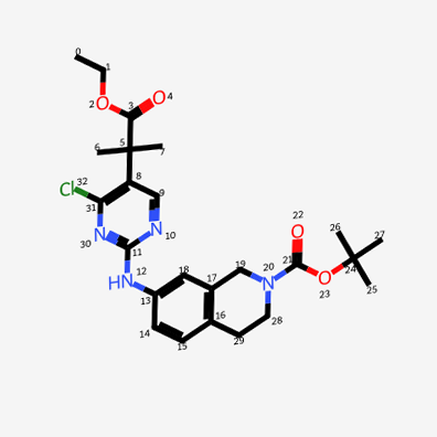 CCOC(=O)C(C)(C)c1cnc(Nc2ccc3c(c2)CN(C(=O)OC(C)(C)C)CC3)nc1Cl